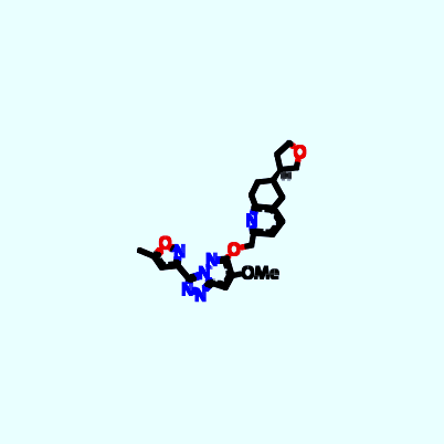 COc1cc2nnc(-c3cc(C)on3)n2nc1OCc1ccc2c(n1)CCC([C@H]1CCOC1)C2